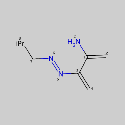 C=C(N)C(=C)/N=N/CC(C)C